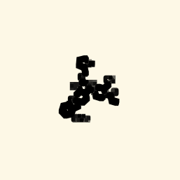 C=CC(=O)N1CCN(C2NC(OCC3CCCN3C)NC3C[C@]4(CCC32)Cc2c(OC)cccc2O4)CC1CC#N